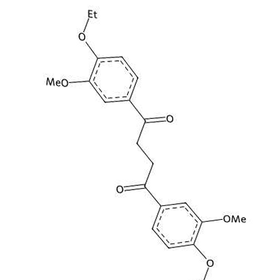 CCOc1ccc(C(=O)CCC(=O)c2ccc(OCC)c(OC)c2)cc1OC